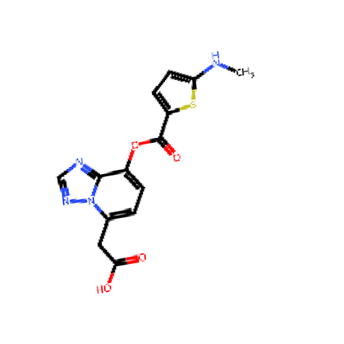 CNc1ccc(C(=O)Oc2ccc(CC(=O)O)n3ncnc23)s1